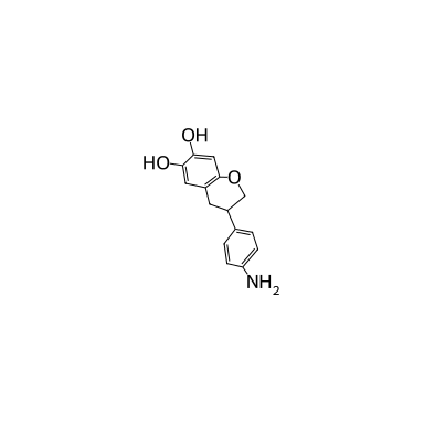 Nc1ccc(C2COc3cc(O)c(O)cc3C2)cc1